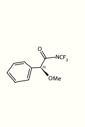 CO[C@H](C(=O)NC(F)(F)F)c1ccccc1